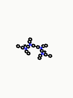 CC1(C)c2cc(-c3ccccc3)ccc2N(c2ccc3ccccc3c2)c2ccc(N(c3ccc(-c4ccc(N(c5ccc6c(c5)C(C)(C)c5cc(-c7ccccc7)ccc5N6c5ccc6ccccc6c5)c5ccc6ccccc6c5)cc4)cc3)c3ccc4ccccc4c3)cc21